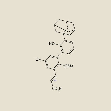 COc1c(/C=C/C(=O)O)cc(Cl)cc1-c1cccc(C23CC4CC(CC(C4)C2)C3)c1O